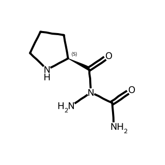 NC(=O)N(N)C(=O)[C@@H]1CCCN1